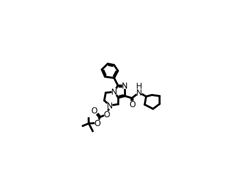 CC(C)(C)OC(=O)ON1CCn2c(-c3ccccc3)nc(C(=O)NC3CCCCC3)c2C1